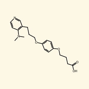 CN(C)c1ccncc1CCCOc1ccc(OCCCC(=O)O)cc1